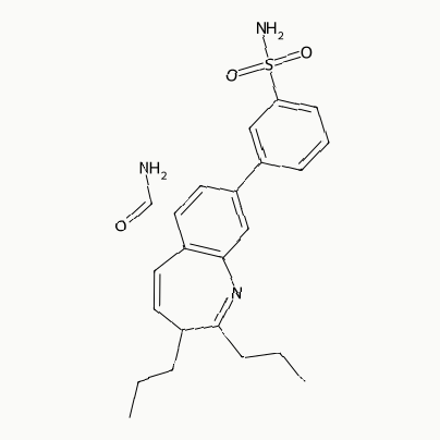 CCCC1=Nc2cc(-c3cccc(S(N)(=O)=O)c3)ccc2C=CC1CCC.NC=O